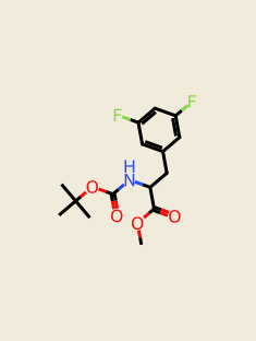 COC(=O)C(Cc1cc(F)cc(F)c1)NC(=O)OC(C)(C)C